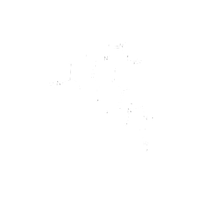 O=[N+]([O-])c1ccc(-n2cnc(Br)c2)c(-c2ccc(-n3cnc(Br)c3)cc2)c1